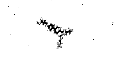 COC(=O)C(C)(C)COc1ccc(-c2ccc(-c3nc(C(F)(F)F)nn3COCC[Si](C)(C)C)nc2)cn1